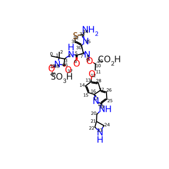 CC1(C)C(NC(=O)/C(=N\O[C@@H](COc2ccc3nc(NCC4CNC4)ccc3c2)C(=O)O)c2csc(N)n2)C(=O)N1OS(=O)(=O)O